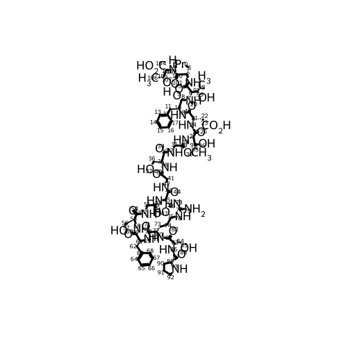 CC(C)C[C@H](NC(=O)[C@@H](NC(=O)[C@H](Cc1ccccc1)NC(=O)[C@H](CC(=O)O)NC(=O)[C@@H](NC(=O)CNC(=O)[C@H](CO)NC(=O)CNC(=O)[C@H](CO)NC(=O)CNC(=O)[C@H](CO)NC(=O)[C@H](Cc1ccccc1)NC(=O)[C@H](CCCNC(=N)N)NC(=O)[C@H](CO)NC(=O)[C@@H]1CCCN1)[C@@H](C)O)[C@@H](C)O)C(=O)N[C@H](C(=O)O)[C@@H](C)O